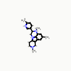 Cc1cc2c3c(c1)c1c(n3CC(c3ccc(C)nc3)N2C)CCN(C)C1